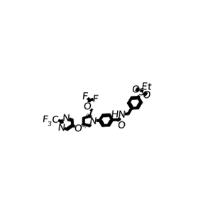 CCS(=O)(=O)c1ccc(CNC(=O)c2ccc(N3C[C@@H](Oc4cnc(C(F)(F)F)nc4)C[C@H]3COC(F)F)cc2)cc1